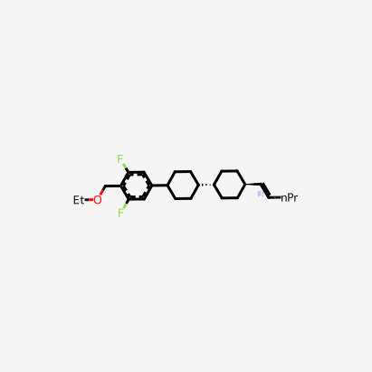 CCC/C=C/[C@H]1CC[C@H](C2CCC(c3cc(F)c(COCC)c(F)c3)CC2)CC1